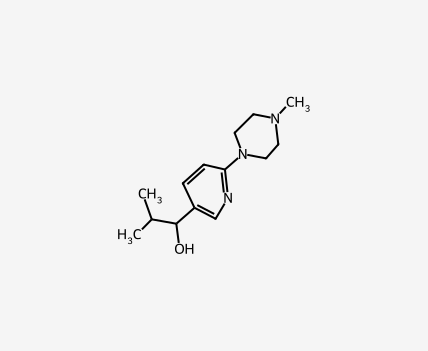 CC(C)C(O)c1ccc(N2CCN(C)CC2)nc1